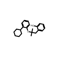 CC(C)(Cc1ccccc1O)Oc1ccccc1C1CCCCC1